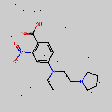 CCN(CCN1CCCC1)c1ccc(C(=O)O)c([N+](=O)[O-])c1